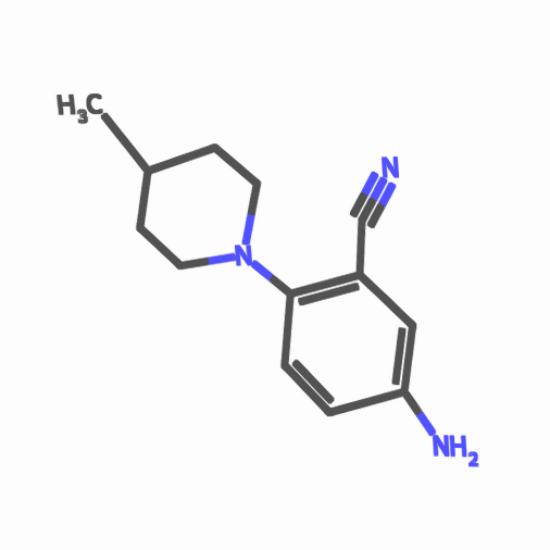 CC1CCN(c2ccc(N)cc2C#N)CC1